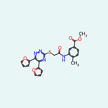 COC(=O)c1ccc(C)c(NC(=O)CSc2nnc(-c3ccco3)c(-c3ccco3)n2)c1